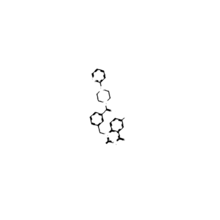 O=C(c1cccc(Cn2c(=O)[nH]c(=O)c3cc(Cl)ccc32)c1)N1CCN(c2ccccn2)CC1